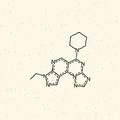 CCn1ncc2c1ncc1c(N3CCCCC3)nc3ncnn3c12